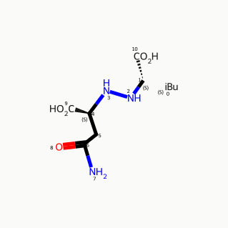 CC[C@H](C)[C@H](NN[C@@H](CC(N)=O)C(=O)O)C(=O)O